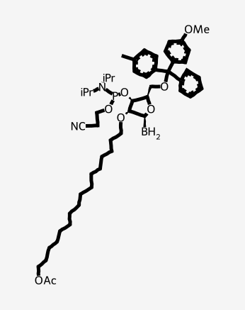 B[C@@H]1O[C@H](COC(c2ccccc2)(c2ccc(C)cc2)c2ccc(OC)cc2)[C@@H](OP(OCCC#N)N(C(C)C)C(C)C)[C@H]1OCCCCCCCCCCCCCCCCOC(C)=O